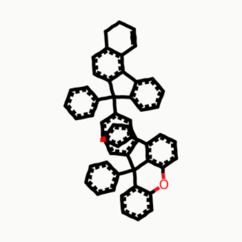 C1=Cc2c(ccc3c2-c2ccccc2C3(c2ccccc2)c2cccc(-c3cccc4c3C(c3ccccc3)(c3ccccc3)c3ccccc3O4)c2)CC1